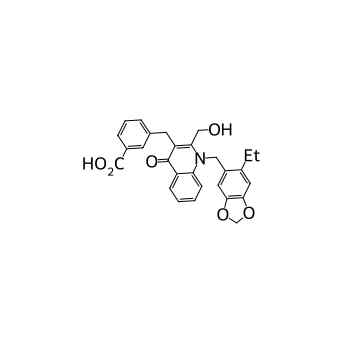 CCc1cc2c(cc1Cn1c(CO)c(Cc3cccc(C(=O)O)c3)c(=O)c3ccccc31)OCO2